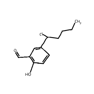 CCCCC(Cl)c1ccc(O)c(C=O)c1